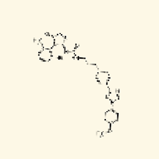 CCc1cccc(C)c1N1C(=O)CSC1=NC(=O)NCCCc1ccc(-c2ncn(-c3ccc(OC(F)(F)F)cc3)n2)cc1